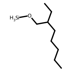 CCCCCC(CC)CO[SiH3]